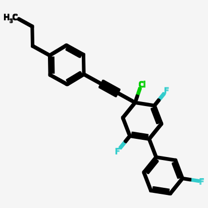 CCCc1ccc(C#CC2(Cl)CC(F)=C(c3cccc(F)c3)C=C2F)cc1